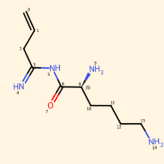 C=CCC(=N)NC(=O)[C@@H](N)CCCCN